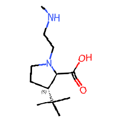 CNCCN1CC[C@@H](C(C)(C)C)C1C(=O)O